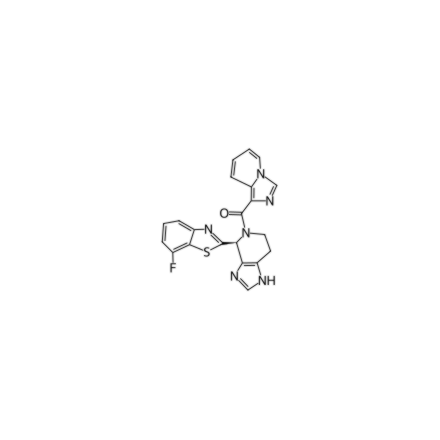 O=C(c1ncn2ccccc12)N1CCc2[nH]cnc2[C@H]1c1nc2cccc(F)c2s1